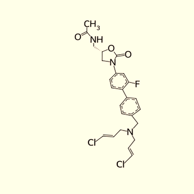 CC(=O)NC[C@H]1CN(c2ccc(-c3ccc(CN(CC=CCl)CC=CCl)cc3)c(F)c2)C(=O)O1